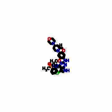 COc1cc2c(cc1Nc1nc(Nc3ccccc3P(C)(C)=O)c3c(Cl)c[nH]c3n1)OC[C@@H]1C[C@@H](N3CCOCC3)CCN21